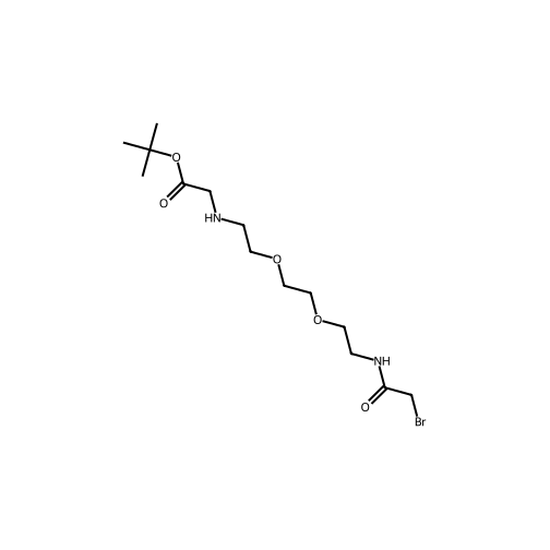 CC(C)(C)OC(=O)CNCCOCCOCCNC(=O)CBr